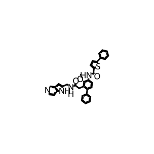 COc1c(NC(=O)c2ccc(-c3ccccc3)s2)ccc(-c2ccccc2)c1CC(=O)NCc1cc2cnccc2[nH]1